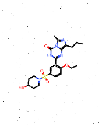 CCCc1nc(C)n2c(=O)[nH]c(-c3cc(S(=O)(=O)N4CCC(O)CC4)ccc3OCC)nc12